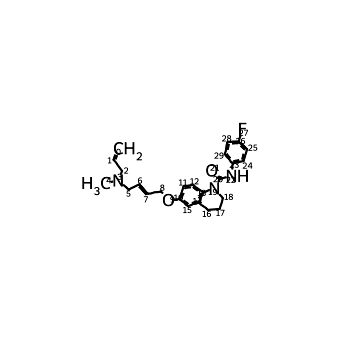 C=CCN(C)CC=CCOc1ccc2c(c1)CCCN2C(=O)Nc1ccc(F)cc1